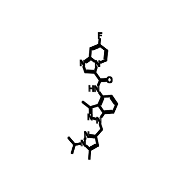 Cc1nn(Cc2cc(C)n(C(C)C)n2)c2cccc(NC(=O)c3cnc4cc(F)ccn34)c12